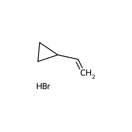 Br.C=CC1CC1